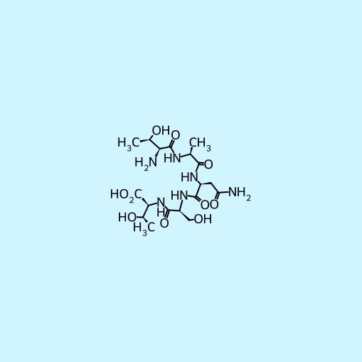 C[C@H](NC(=O)[C@@H](N)[C@@H](C)O)C(=O)N[C@@H](CC(N)=O)C(=O)N[C@@H](CO)C(=O)N[C@H](C(=O)O)[C@@H](C)O